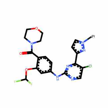 CC(C)n1ccc(-c2nc(Nc3ccc(C(=O)N4CCOCC4)c(OC(F)F)c3)ncc2Cl)n1